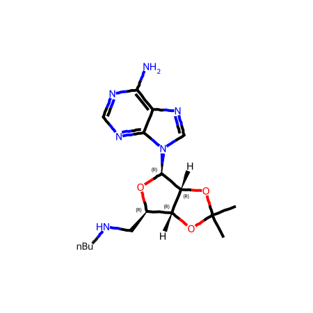 CCCCNC[C@H]1O[C@@H](n2cnc3c(N)ncnc32)[C@@H]2OC(C)(C)O[C@@H]21